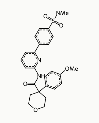 CNS(=O)(=O)c1ccc(-c2cccc(NC(=O)C3(c4ccc(OC)cc4)CCOCC3)n2)cc1